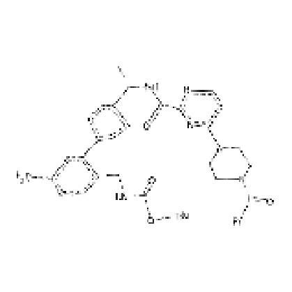 CC(C)C(=O)N1CCN(c2ccnc(C(=O)N[C@@H](C)c3ccc(-c4cc(C(F)(F)F)ccc4CNC(=O)OC(C)(C)C)cc3)n2)CC1